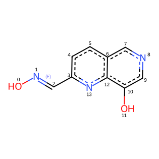 O/N=C/c1ccc2cncc(O)c2n1